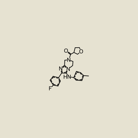 Cc1ccc(Nc2c(-c3ccc(F)cc3)nc3n2CCN(C(=O)C2CCOC2)C3)cc1